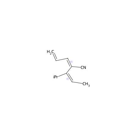 C=C/C=C(C#N)\C(=C/C)C(C)C